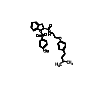 CN(C)CCc1ccc(OCCNC(=O)[C@@H]2Cc3ccccc3N2S(=O)(=O)c2ccc(C(C)(C)C)cc2)cc1